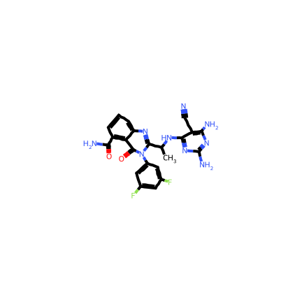 CC(Nc1nc(N)nc(N)c1C#N)c1nc2cccc(C(N)=O)c2c(=O)n1-c1cc(F)cc(F)c1